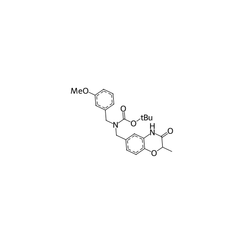 COc1cccc(CN(Cc2ccc3c(c2)NC(=O)C(C)O3)C(=O)OC(C)(C)C)c1